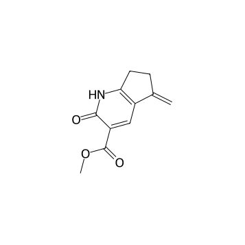 C=C1CCc2[nH]c(=O)c(C(=O)OC)cc21